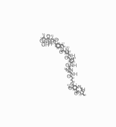 C=C1C[C@H]2C=Nc3cc(OCCCC(=O)Nc4cn(C)c(C(=O)Nc5cc(C(=O)Nc6cc(C(=O)n7ccc8cc(NC(=O)[C@H](C)NC(=O)[C@@H](NC(=O)O)C(C)C)ccc87)n(C)c6)n(C)c5)n4)c(OC)cc3C(=O)N2C1